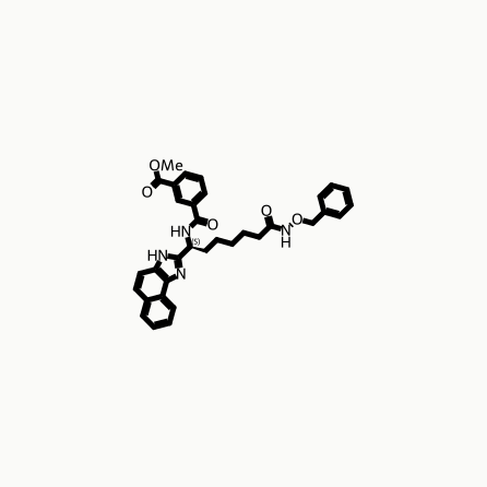 COC(=O)c1cccc(C(=O)N[C@@H](CCCCCC(=O)NOCc2ccccc2)c2nc3c(ccc4ccccc43)[nH]2)c1